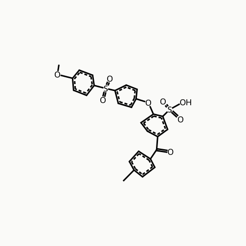 COc1ccc(S(=O)(=O)c2ccc(Oc3ccc(C(=O)c4ccc(C)cc4)cc3S(=O)(=O)O)cc2)cc1